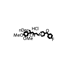 CCCCCCCCCCCC(C#N)(CCCCN1CCC(C(=O)c2ccc(F)cc2)CC1)c1ccc(OC)c(OC)c1.Cl